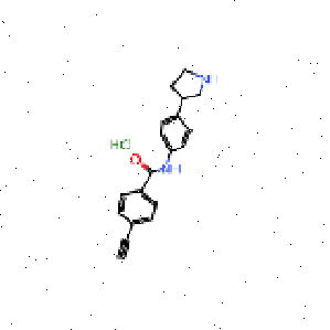 C#Cc1ccc(C(=O)Nc2ccc(C3CCNC3)cc2)cc1.Cl